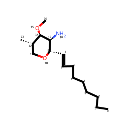 CCCCCCCC=C[C@@H]1OC[C@H](C)[C@@H](OC)[C@H]1N